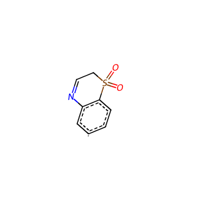 O=S1(=O)CC=Nc2c[c]ccc21